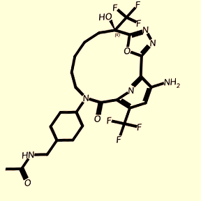 CC(=O)NCC1CCC(N2CCCCC[C@](O)(C(F)(F)F)c3nnc(o3)-c3nc(c(C(F)(F)F)cc3N)C2=O)CC1